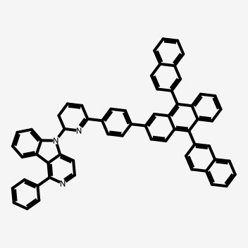 C1=CC(c2ccc(-c3ccc4c(-c5ccc6ccccc6c5)c5ccccc5c(-c5ccc6ccccc6c5)c4c3)cc2)=NC(n2c3ccccc3c3c(-c4ccccc4)nccc32)C1